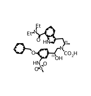 CCN(CC)C(=O)c1cccc2c(C[C@@H](C)N(C[C@@H](O)c3ccc(OCc4ccccc4)c(NS(C)(=O)=O)c3)C(=O)O)c[nH]c12